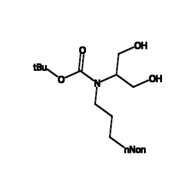 CCCCCCCCCCCCN(C(=O)OC(C)(C)C)C(CO)CO